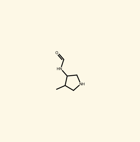 CC1CNCC1NC=O